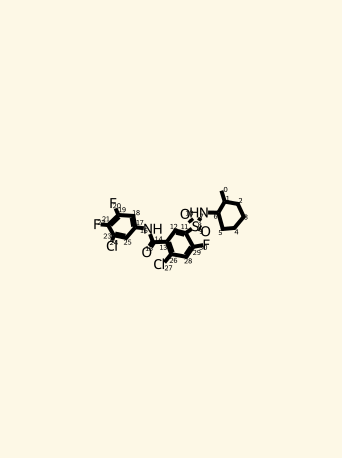 CC1CCCCC1NS(=O)(=O)c1cc(C(=O)Nc2cc(F)c(F)c(Cl)c2)c(Cl)cc1F